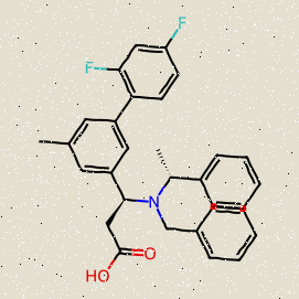 Cc1cc(-c2ccc(F)cc2F)cc([C@H](CC(=O)O)N(Cc2ccccc2)[C@H](C)c2ccccc2)c1